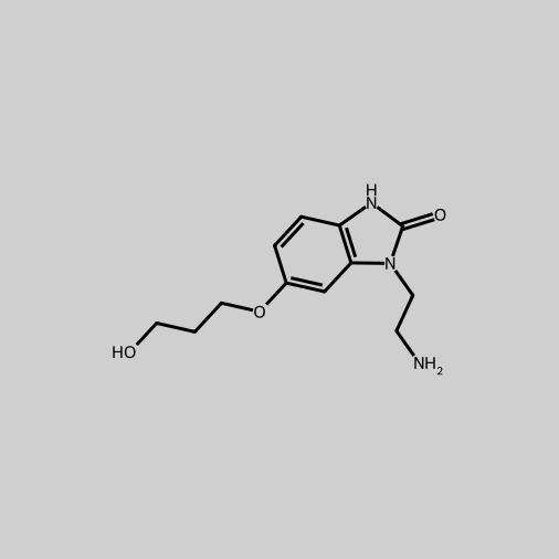 NCCn1c(=O)[nH]c2ccc(OCCCO)cc21